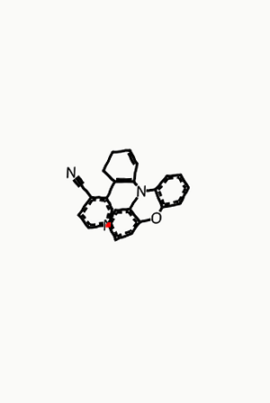 N#Cc1ccncc1C1=C(N2c3ccccc3Oc3ccccc32)C=CCC1